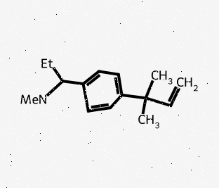 C=CC(C)(C)c1ccc(C(CC)NC)cc1